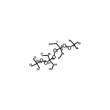 CCC(CC)(OOC(C)(C)C)OOC(CC)(CC)OOC(C)(C)C